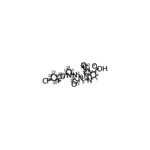 O=C(O)c1ccc2nc(CN3CCN(c4cccc(OCc5ccc(Cl)cc5F)n4)C4COCC43)n(Cc3cocn3)c2c1